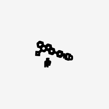 C1=CC2=C(CC1)C(C1CCC1)Cc1c2ccc2cc(-c3ccc(N4CCOCC4)cc3)ccc12.C1=NCCS1